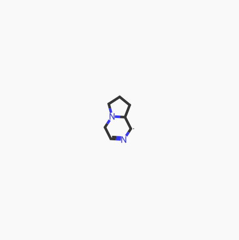 [CH]1N=CCN2CCCC12